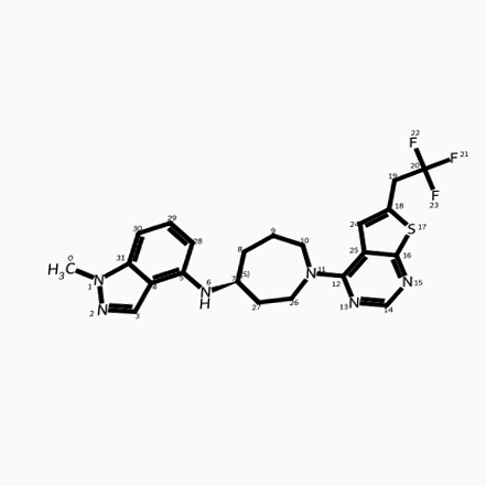 Cn1ncc2c(N[C@H]3CCCN(c4ncnc5sc(CC(F)(F)F)cc45)CC3)cccc21